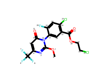 COc1nc(C(F)(F)F)cc(=O)n1-c1cc(C(=O)OCCCl)c(Cl)cc1F